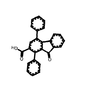 O=C(O)c1cc(-c2ccccc2)c2c(c1-c1ccccc1)C(=O)c1ccccc1-2